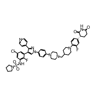 O=C1CC[C@H](c2ccc(N3CCC(CN4CCN(c5ccc(-n6cc(-c7cc(Cl)cc(NS(=O)(=O)N8CCCC8)c7F)c(-c7ccncc7)n6)cc5)CC4)CC3)c(F)c2)C(=O)N1